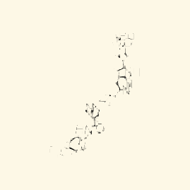 CC(C)(C)OC(=O)N1CC(c2cc3cc(CCCCn4cc(C(=O)NCc5ccc(C(F)(F)F)cn5)nn4)nnc3[nH]2)C1